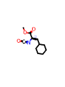 COC(=O)/C(=C/C1CCCCC1)N=C=O